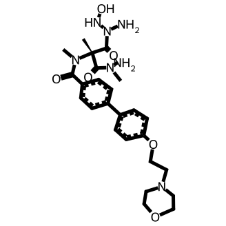 CN(N)C(=O)[C@@](C)(C(=O)N(N)NO)N(C)C(=O)c1ccc(-c2ccc(OCCN3CCOCC3)cc2)cc1